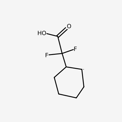 O=C(O)C(F)(F)C1[CH]CCCC1